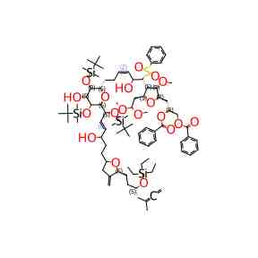 C=C=C(C)C[C@H](CC[C@@H]1OC(CCC(O)/C=C/[C@H](O[Si](C)(C)C(C)(C)C)[C@@H]2O[C@@H](CC/C=C\C(O)C([C@@H]3[C@@H](OC)[C@@H](C[C@H](COC(=O)c4ccccc4)OC(=O)c4ccccc4)O[C@H]3CC(OC)OC)S(=O)(=O)c3ccccc3)[C@H](O[Si](C)(C)C(C)(C)C)[C@H](O)C2O[Si](C)(C)C(C)(C)C)CC1=C)O[Si](CC)(CC)CC